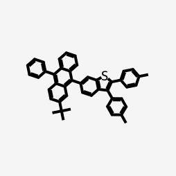 Cc1ccc(-c2sc3cc(-c4c5ccccc5c(-c5ccccc5)c5ccc(C(C)(C)C)cc45)ccc3c2-c2ccc(C)cc2)cc1